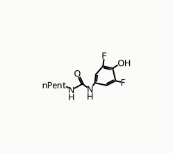 CCCCCNC(=O)Nc1cc(F)c(O)c(F)c1